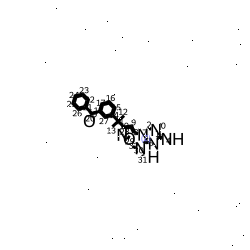 CN(C)C(=N)N/C(=N/c1cc(C(C)(C)c2cccc(C(=O)c3ccccc3)c2)no1)N(C)C